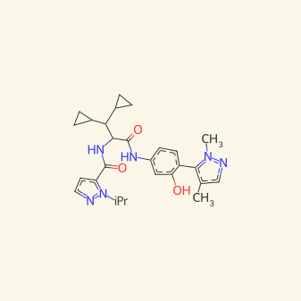 Cc1cnn(C)c1-c1ccc(NC(=O)C(NC(=O)c2ccnn2C(C)C)C(C2CC2)C2CC2)cc1O